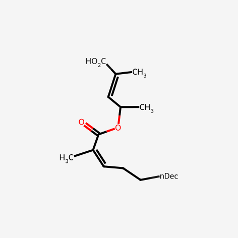 CCCCCCCCCCCCC=C(C)C(=O)OC(C)C=C(C)C(=O)O